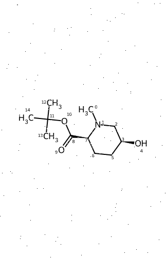 CN1C[C@@H](O)CC[C@H]1C(=O)OC(C)(C)C